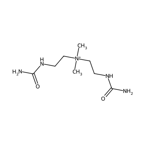 C[N+](C)(CCNC(N)=O)CCNC(N)=O